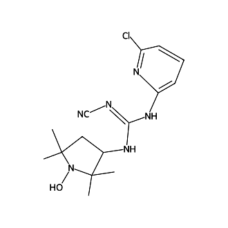 CC1(C)CC(NC(=NC#N)Nc2cccc(Cl)n2)C(C)(C)N1O